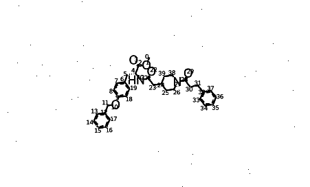 COC(=O)[C@@H](Cc1ccc(OCc2ccccc2)cc1)NC(=O)CC1CCN(C(=O)CCc2ccccc2)CC1